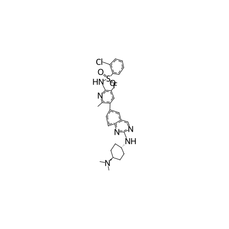 Cc1nc(NS(=O)(=O)c2ccccc2Cl)c(F)cc1-c1ccc2nc(N[C@H]3CC[C@H](N(C)C)CC3)ncc2c1